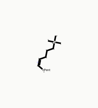 CCCCC/C=C\CCC[Si](C)(C)C